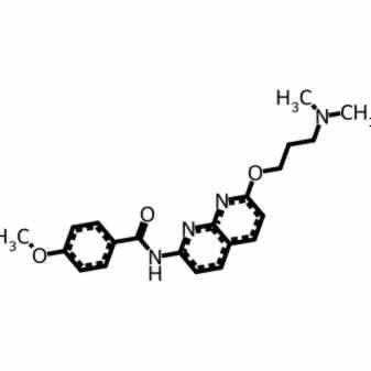 COc1ccc(C(=O)Nc2ccc3ccc(OCCCN(C)C)nc3n2)cc1